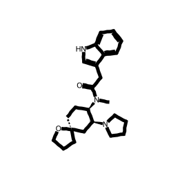 CN(C(=O)Cc1c[nH]c2ccccc12)[C@@H]1CC[C@@]2(CCCO2)C[C@@H]1N1CCCC1